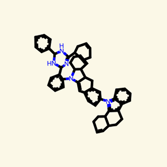 C1=CCC(C2=NC(c3ccccc3N3C4=Cc5ccc(-n6c7c(c8ccccc86)CCC6C=CCCC76)cc5CC4C4C=CCCC43)NC(c3ccccc3)N2)CC1